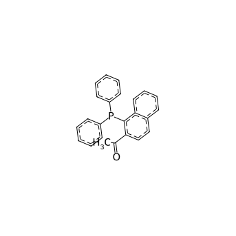 CC(=O)c1ccc2ccccc2c1P(c1ccccc1)c1ccccc1